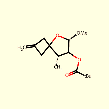 C=C1CC2(C1)O[C@@H](OC)C(OC(=O)C(C)(C)C)[C@@H]2C